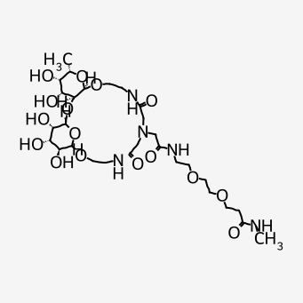 CNC(=O)CCOCCOCCNC(=O)CN1CC(=O)NCCO[C@@H]2O[C@@H](O[C@@H]3[C@H](OCCNC(=O)C1)O[C@@H](C)[C@@H](O)[C@H]3O)[C@@H](O)[C@@H](O)[C@@H]2O